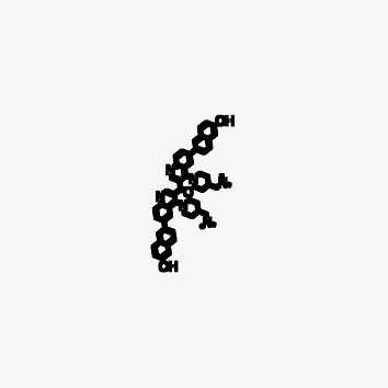 CN(C)CC1CCN(c2c(C(=O)c3cnc4ccc(-c5ccc6cc(O)ccc6c5)cc4c3N3CCC(CN(C)C)CC3)cnc3ccc(-c4ccc5cc(O)ccc5c4)cc23)CC1